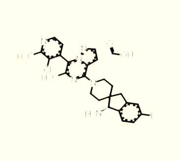 Cc1nccc(-c2c(C)nc(N3CCC4(CC3)Cc3cc(F)ccc3[C@H]4N)c3ccnn23)c1Cl.O=CO